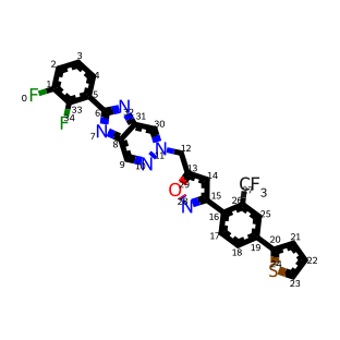 Fc1cccc(-c2nc3cnn(Cc4cc(-c5ccc(-c6cccs6)cc5C(F)(F)F)no4)cc-3n2)c1F